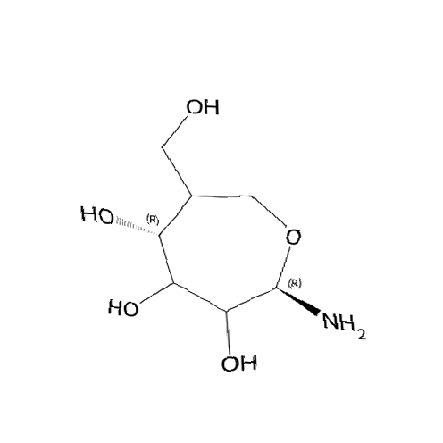 N[C@@H]1OCC(CO)[C@@H](O)C(O)C1O